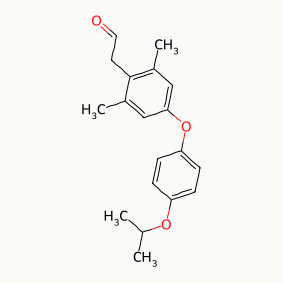 Cc1cc(Oc2ccc(OC(C)C)cc2)cc(C)c1CC=O